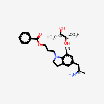 C[C@@H](N)Cc1cc(C#N)c2c(c1)CCN2CCCOC(=O)c1ccccc1.O=C(O)[C@H](O)[C@@H](O)C(=O)O